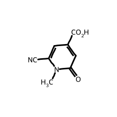 Cn1c(C#N)cc(C(=O)O)cc1=O